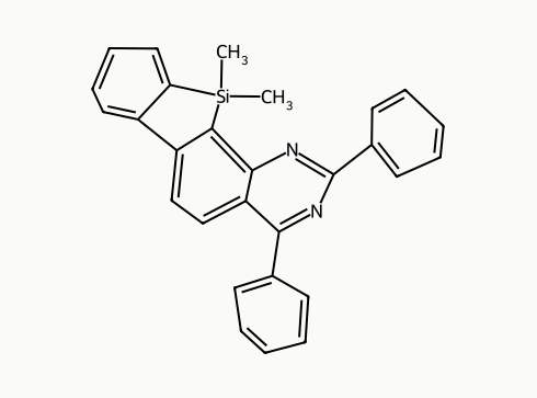 C[Si]1(C)c2ccccc2-c2ccc3c(-c4ccccc4)nc(-c4ccccc4)nc3c21